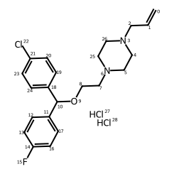 C=CCN1CCN(CCOC(c2ccc(F)cc2)c2ccc(Cl)cc2)CC1.Cl.Cl